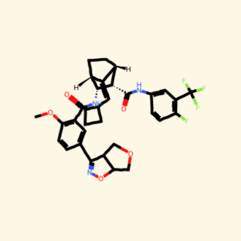 COc1ccc(C2=NOC3COCC23)cc1C(=O)N[C@H]1[C@@H](C(=O)Nc2ccc(F)c(C(F)(F)F)c2)[C@H]2CC[C@@H]1/C2=C\C1CCC1